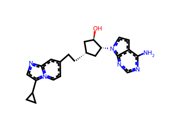 Nc1ncnc2c1ccn2[C@@H]1C[C@H](CCc2ccn3c(C4CC4)cnc3c2)C[C@H]1O